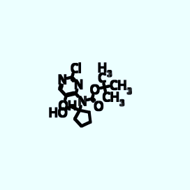 CC(C)(C)OC(=O)N(c1nc(Cl)ncc1O)C1(CO)CCCC1